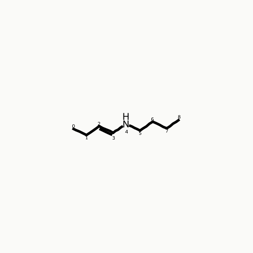 CC/C=C/NCCCC